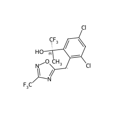 C[C@@](O)(c1cc(Cl)cc(Cl)c1[CH]c1nc(C(F)(F)F)no1)C(F)(F)F